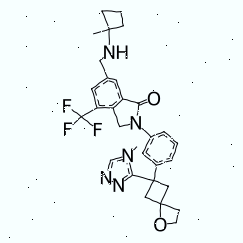 Cn1cnnc1C1(c2cccc(N3Cc4c(cc(CNC5(C)CCC5)cc4C(F)(F)F)C3=O)c2)CC2(CCO2)C1